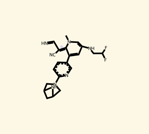 CN1C=C(NCC(F)F)C=C(c2ccc(N3CC4CC(C3)N4)nc2)/C1=C(\C#N)C=N